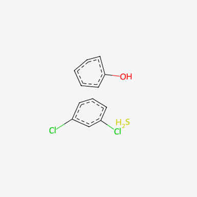 Clc1cccc(Cl)c1.Oc1ccccc1.S